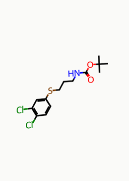 CC(C)(C)OC(=O)NCCCSc1ccc(Cl)c(Cl)c1